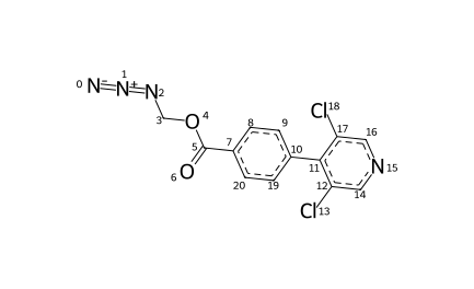 [N-]=[N+]=NCOC(=O)c1ccc(-c2c(Cl)cncc2Cl)cc1